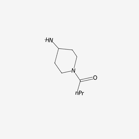 CCCC(=O)N1CCC([NH])CC1